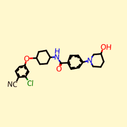 N#Cc1ccc(OC2CCC(NC(=O)c3ccc(N4CCCC(O)C4)cc3)CC2)cc1Cl